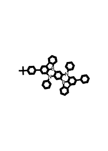 CC(C)(C)c1ccc(-c2cc3c4c(c2)N(c2ccccc2)c2cc5c(cc2B4c2ccccc2-3)N(c2ccccc2)c2cc(-c3ccccc3)cc3c2B5c2ccccc2-3)cc1